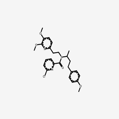 COc1ccc(CCC(C)N(CCc2ccc(OC)c(OC)n2)C(=O)c2cccc(Cl)n2)cc1